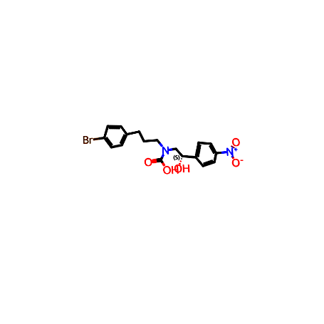 O=C(O)N(CCCc1ccc(Br)cc1)C[C@@H](O)c1ccc([N+](=O)[O-])cc1